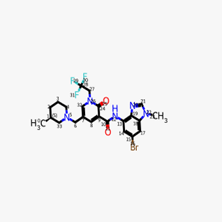 C[C@H]1CCCN(Cc2cc(C(=O)Nc3cc(Br)cc4c3ncn4C)c(=O)n(CC(F)(F)F)c2)C1